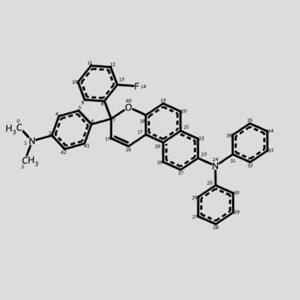 CN(C)c1ccc(C2(c3ccccc3F)C=Cc3c(ccc4cc(N(c5ccccc5)c5ccccc5)ccc34)O2)cc1